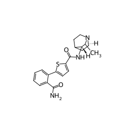 C[C@H]1[C@H](NC(=O)c2ccc(-c3ccccc3C(N)=O)s2)C2CCN1CC2